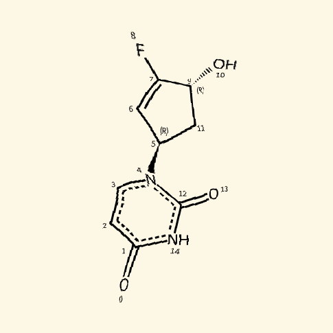 O=c1ccn([C@H]2C=C(F)[C@H](O)C2)c(=O)[nH]1